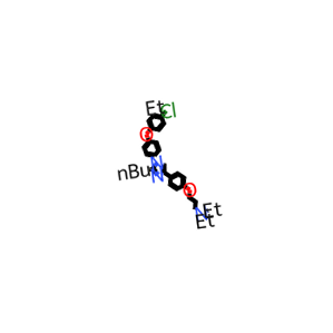 CCCCc1nc(-c2ccc(OCCCN(CC)CC)cc2)cn1-c1ccc(Oc2ccc(Cl)c(CC)c2)cc1